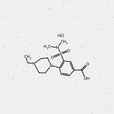 CCN1CCN(c2ccc(C(=O)O)cc2S(=O)(=O)N(C)C)CC1.Cl